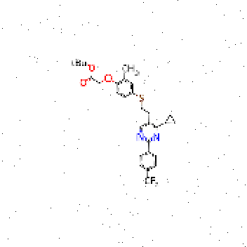 Cc1cc(SCCc2cnc(-c3ccc(C(F)(F)F)cc3)nc2C2CC2)ccc1OCC(=O)OC(C)(C)C